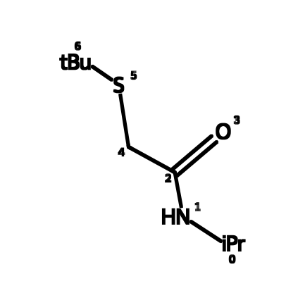 CC(C)NC(=O)CSC(C)(C)C